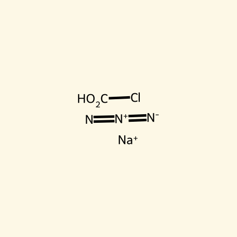 O=C(O)Cl.[N-]=[N+]=[N-].[Na+]